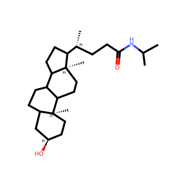 CC(C)NC(=O)CC[C@@H](C)C1CCC2C3CCC4C[C@H](O)CC[C@]4(C)C3CC[C@@]21C